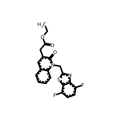 CCOC(=O)Cc1cc2ccccc2n(Cc2nc3c(F)ccc(F)c3s2)c1=O